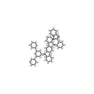 c1ccc(-c2cc(-c3ccccc3)cc(-n3c4ccccc4c4cc5c(cc43)c3ccccc3n5-c3ccccc3-c3nc4ccccc4s3)c2)cc1